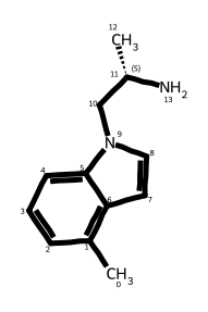 Cc1cccc2c1ccn2C[C@H](C)N